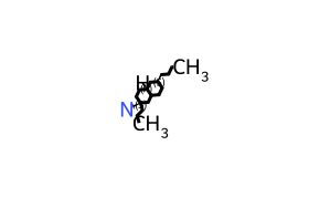 CCCC[C@H]1CCC2C[C@](C#N)(CCC)CC[C@@H]2C1